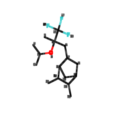 CC(C)OC(C)(CC1CC2CC1C(C)C2C)C(F)(F)F